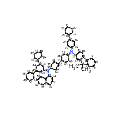 CC1(C)c2ccccc2-c2ccc(N(c3ccc(-c4ccccc4)cc3)c3ccc(-c4ccc(N(c5cc(-c6ccccc6)cc(-c6ccccc6)c5)c5cccc6ccccc56)cc4)cc3)cc21